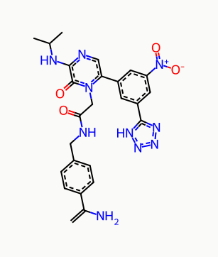 C=C(N)c1ccc(CNC(=O)Cn2c(-c3cc(-c4nnn[nH]4)cc([N+](=O)[O-])c3)cnc(NC(C)C)c2=O)cc1